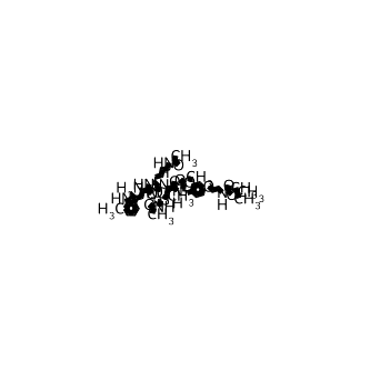 COC(=O)[C@H](Cc1ccc(OCCNC(=O)OC(C)(C)C)cc1)NC(=O)[C@@H](NC(=O)[C@H](CCCCNC(C)=O)NC(=O)[C@@H](N)Cc1c[nH]c2c(C)cccc12)C(C)(C)SCNC(C)=O